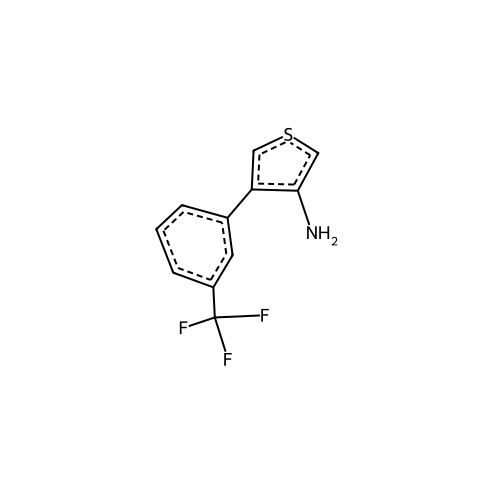 Nc1cscc1-c1cccc(C(F)(F)F)c1